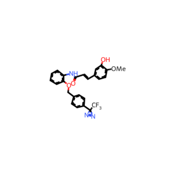 COc1ccc(/C=C/C(=O)Nc2ccccc2OCc2ccc(C3(C(F)(F)F)N=N3)cc2)cc1O